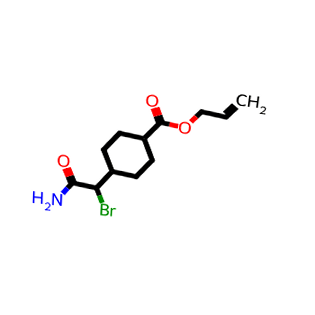 C=CCOC(=O)C1CCC(C(Br)C(N)=O)CC1